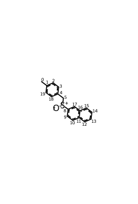 Cc1ccc(C[S+]([O-])c2ccc3ccccc3c2)cc1